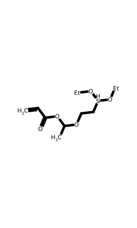 C=CC(=O)OC(C)OCC[SiH](OCC)OCC